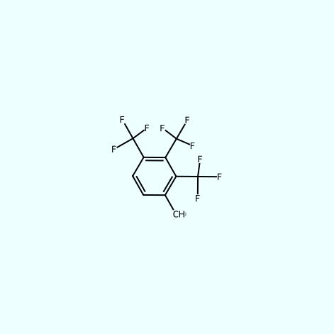 [CH]c1ccc(C(F)(F)F)c(C(F)(F)F)c1C(F)(F)F